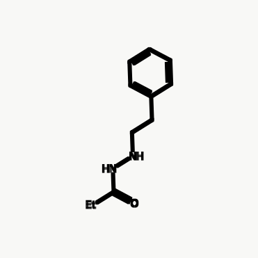 CCC(=O)NNCCc1ccccc1